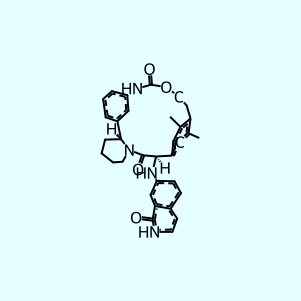 Cc1cc2cc(C)c1CCOC(=O)Nc1cccc(c1)[C@H]1CCCCN1C(=O)[C@@H]2Nc1ccc2cc[nH]c(=O)c2c1